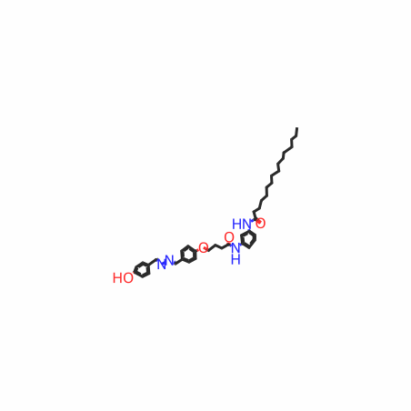 CCCCCCCCCCCCCCCC(=O)Nc1cccc(NC(=O)CCCOc2ccc(C=NN=Cc3ccc(O)cc3)cc2)c1